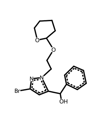 OC(c1ccccc1)c1cc(Br)nn1CCOC1CCCCO1